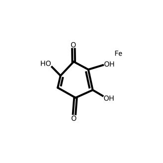 O=C1C=C(O)C(=O)C(O)=C1O.[Fe]